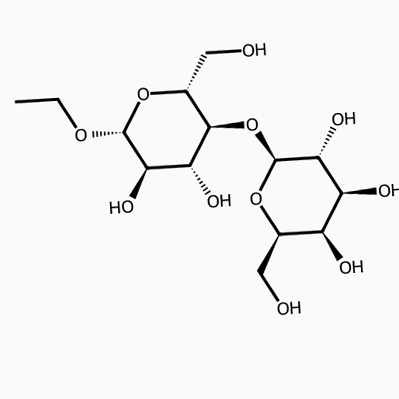 CCO[C@@H]1O[C@H](CO)[C@@H](O[C@@H]2O[C@H](CO)[C@H](O)[C@H](O)[C@H]2O)[C@H](O)[C@H]1O